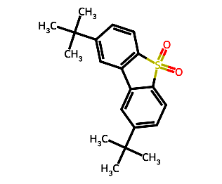 CC(C)(C)c1ccc2c(c1)-c1cc(C(C)(C)C)ccc1S2(=O)=O